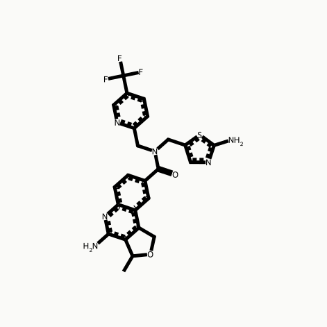 CC1OCc2c1c(N)nc1ccc(C(=O)N(Cc3ccc(C(F)(F)F)cn3)Cc3cnc(N)s3)cc21